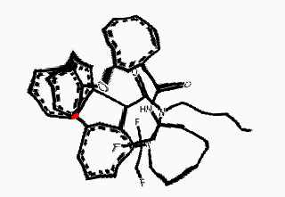 CCCCN(CC(F)(F)F)C(=O)C1c2ccccc2-c2cccc(N3CCCCC3NC(=O)c3ccccc3Oc3ccccc3)c21